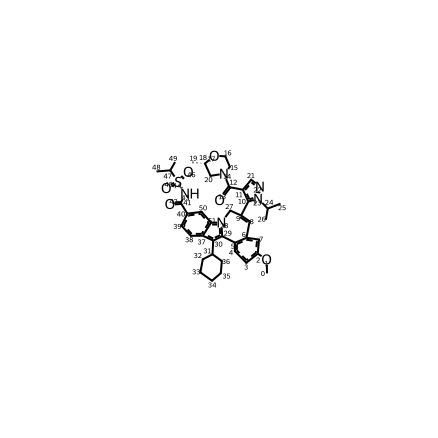 COc1ccc2c(c1)C=C(c1c(C(=O)N3CCO[C@@H](C)C3)cnn1C(C)C)Cn1c-2c(C2CCCCC2)c2ccc(C(=O)NS(=O)(=O)C(C)C)cc21